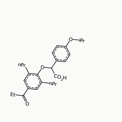 CCCc1cc(C(=O)CC)cc(CCC)c1OC(C(=O)O)c1ccc(OC(C)C)cc1